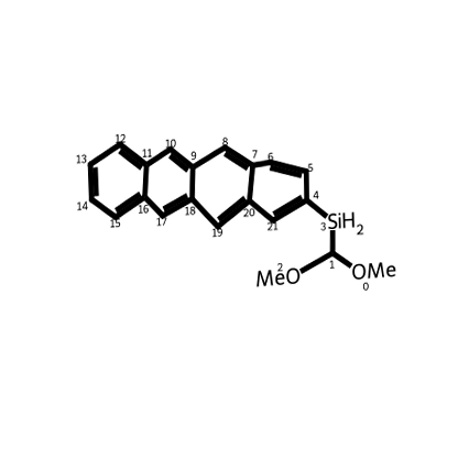 COC(OC)[SiH2]c1ccc2cc3cc4ccccc4cc3cc2c1